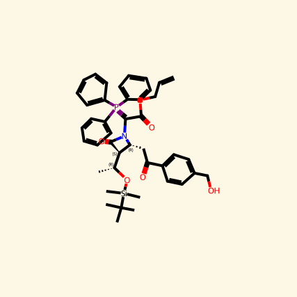 C=CCOC(=O)C(N1C(=O)[C@H]([C@@H](C)O[Si](C)(C)C(C)(C)C)[C@H]1CC(=O)c1ccc(CO)cc1)=P(c1ccccc1)(c1ccccc1)c1ccccc1